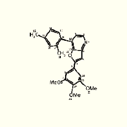 COc1cc(-c2cc3nccc(-c4ccc(C)cc4C)c3o2)cc(OC)c1OC